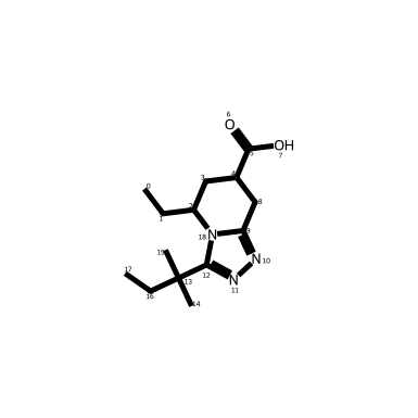 CCC1CC(C(=O)O)Cc2nnc(C(C)(C)CC)n21